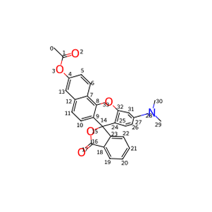 CC(=O)Oc1ccc2c3c(ccc2c1)C1(OC(=O)c2ccccc21)c1ccc(N(C)C)cc1O3